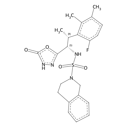 Cc1ccc(F)c([C@@H](C)[C@H](NS(=O)(=O)N2CCc3ccccc3C2)c2n[nH]c(=O)o2)c1C